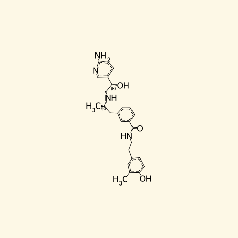 Cc1cc(CCNC(=O)c2cccc(C[C@@H](C)NC[C@H](O)c3ccc(N)nc3)c2)ccc1O